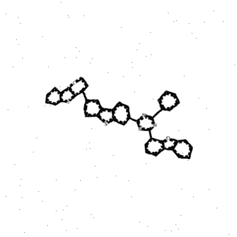 c1ccc(-c2nc(-c3ccc4c(c3)sc3ccc(-c5cccc6c5sc5ccccc56)cc34)nc(-c3cccc4c3oc3ccccc34)n2)cc1